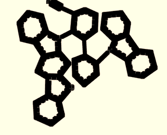 N#Cc1cccc(-c2ccccc2-n2c3ccccc3c3ccccc32)c1-n1c2ccccc2c2cc3c(cc21)oc1ccccc13